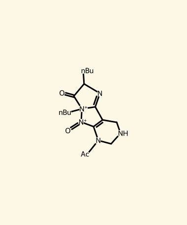 CCCCC1N=C2C3=C(N(C(C)=O)CNC3)[N+](=O)[N+]2(CCCC)C1=O